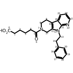 O=C(O)CCCCC(=O)N1CCc2c(n(CCc3ccccc3)c3ncccc23)C1